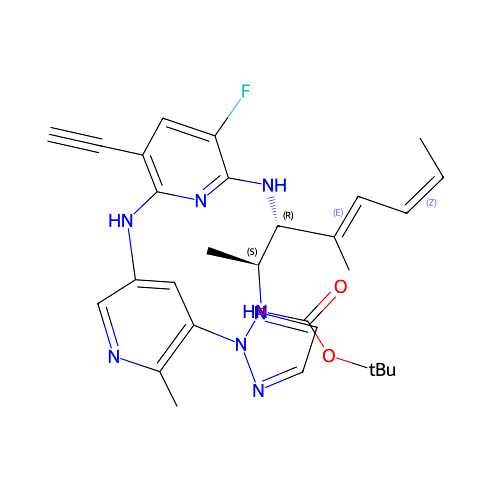 C#Cc1cc(F)c(N[C@H](/C(C)=C/C=C\C)[C@H](C)NC(=O)OC(C)(C)C)nc1Nc1cnc(C)c(-n2nccn2)c1